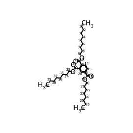 CCCCCCCCCCOC(=O)c1ccc(C(=O)OCCCCCCCC)cc1C(=O)OCCCCCCCC